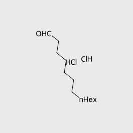 CCCCCCCCCCCCC=O.Cl.Cl